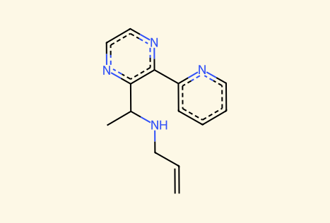 C=CCNC(C)c1nccnc1-c1ccccn1